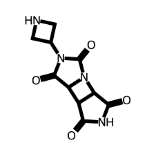 O=C1NC(=O)C2C1C1C(=O)N(C3CNC3)C(=O)N21